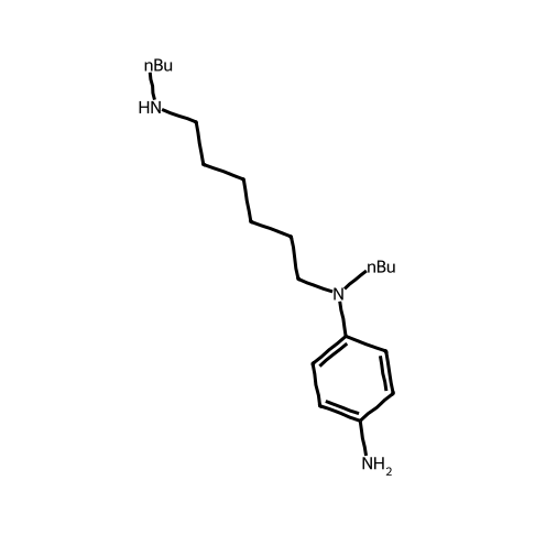 CCCCNCCCCCCN(CCCC)c1ccc(N)cc1